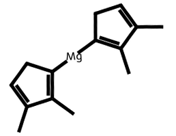 CC1=CC[C]([Mg][C]2=C(C)C(C)=CC2)=C1C